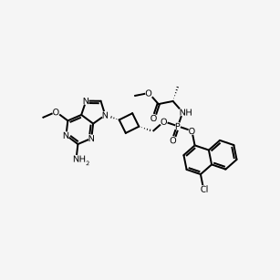 COC(=O)[C@H](C)NP(=O)(OC[C@H]1C[C@@H](n2cnc3c(OC)nc(N)nc32)C1)Oc1ccc(Cl)c2ccccc12